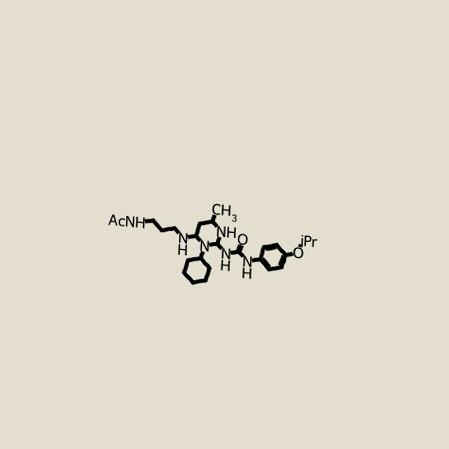 CC(=O)NCCCNC1CC(C)NC(NC(=O)Nc2ccc(OC(C)C)cc2)N1C1CCCCC1